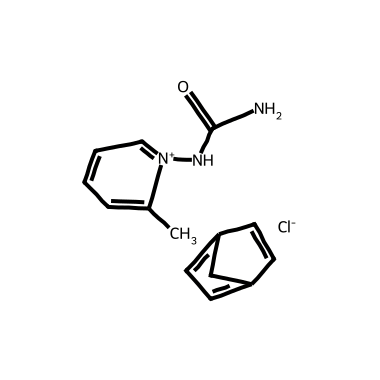 C1=CC2=CC=C1C2.Cc1cccc[n+]1NC(N)=O.[Cl-]